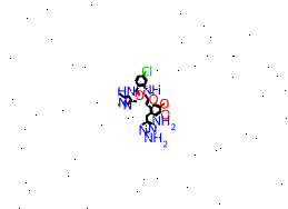 COc1cc(Cc2cnc(N)nc2N)c2cc(CNc3cc(Cl)ccc3C(=O)Nc3c(C)nn(C)c3C)oc2c1OC